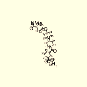 CNC(=O)c1ccc(OC2CCN(C3CCN(C(=O)c4cccc(S(C)(=O)=O)c4)CC3)CC2)cc1